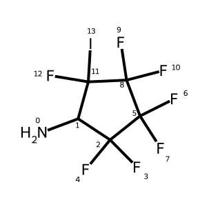 NC1C(F)(F)C(F)(F)C(F)(F)C1(F)I